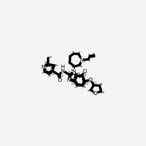 C=CCN1CCCC[C@@H](n2c(NC(=O)c3ccnc(C)c3)nc3ccc(OC4CCOC4)c(Cl)c32)C1